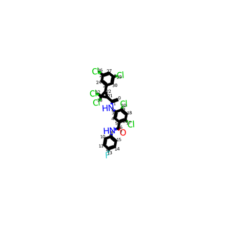 C=C(Nc1cc(C(=O)Nc2ccc(F)cc2)c(Cl)cc1Cl)C1C(c2cc(Cl)cc(Cl)c2)C1(Cl)Cl